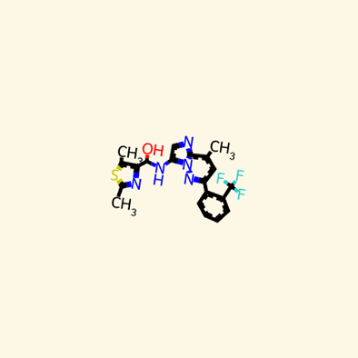 Cc1nc(C(O)Nc2cnc3c(C)cc(-c4ccccc4C(F)(F)F)nn23)c(C)s1